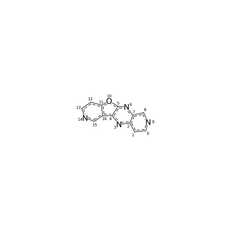 c1cc2nc3c(nc2cn1)oc1ccncc13